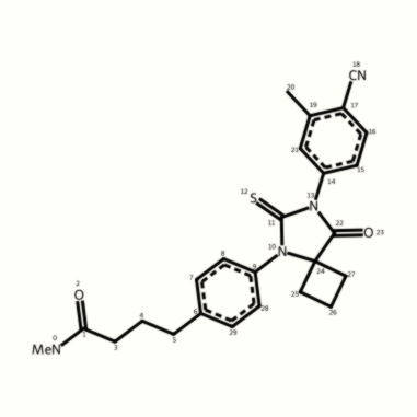 CNC(=O)CCCc1ccc(N2C(=S)N(c3ccc(C#N)c(C)c3)C(=O)C23CCC3)cc1